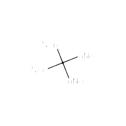 CCCCCCCCCC(CCCCCCCCC)(CCCCCCCCC)CCCCCCCCC